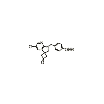 COc1ccc(CN2CC3(CC(=O)C3)c3cc(Cl)cnc32)cc1